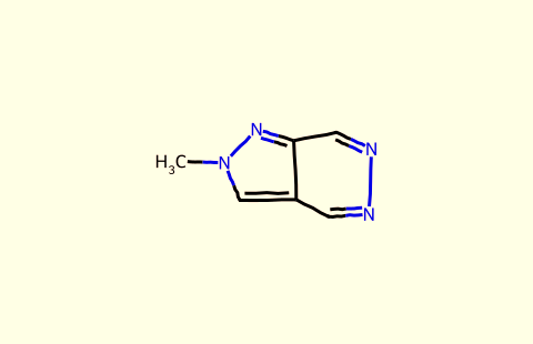 Cn1cc2cnncc2n1